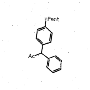 CCCCCc1ccc(C(C(C)=O)c2ccccc2)cc1